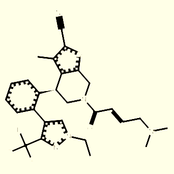 CCn1cc(-c2ccccc2[C@@H]2CN(C(=O)/C=C/CN(C)C)Cc3sc(C#N)c(Cl)c32)c(C(F)(F)F)n1